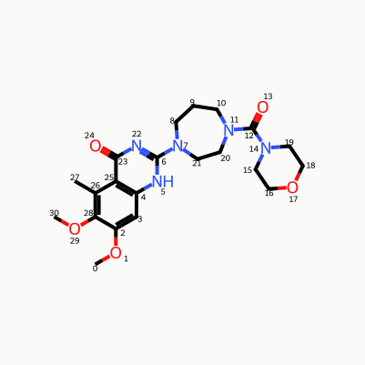 COc1cc2[nH]c(N3CCCN(C(=O)N4CCOCC4)CC3)nc(=O)c2c(C)c1OC